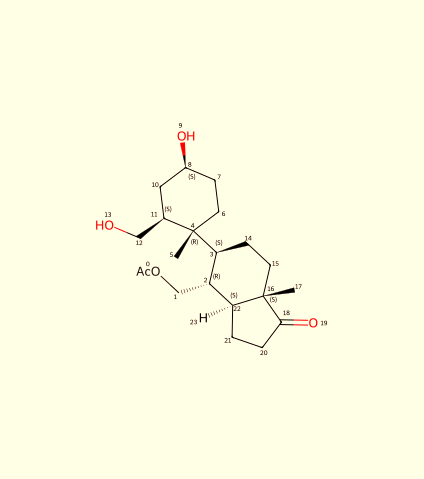 CC(=O)OC[C@@H]1[C@@H]([C@@]2(C)CC[C@H](O)C[C@@H]2CO)CC[C@]2(C)C(=O)CC[C@@H]12